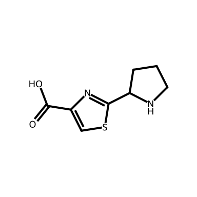 O=C(O)c1csc(C2CCCN2)n1